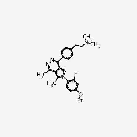 CCOc1ccc(-n2nc3c(-c4ccc(CCN(C)C)cc4)nnc(C)c3c2C)c(F)c1